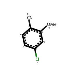 COc1cc(Cl)ccc1C#N